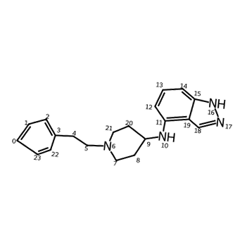 c1ccc(CCN2CCC(Nc3cccc4[nH]ncc34)CC2)cc1